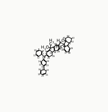 CC1(C)C2=CC(N(c3ccccc3)c3ccc(C4C=CC=CC4)cc3)=CCC2c2ccc(C[C@@H]3C4(C)C=CC=CC4C4CCCCC43C)cc21